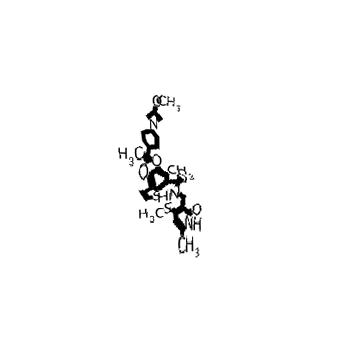 COC1CN(C2CCC(C3(C)Oc4c(C)c(C(=O)NCc5c(SC)cc(C)[nH]c5=O)c5sccc5c4O3)CC2)C1